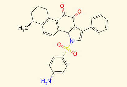 C[C@H]1CCCc2c1ccc1c2C(=O)C(=O)C2C(c3ccccc3)=CN(S(=O)(=O)c3ccc(N)cc3)C12